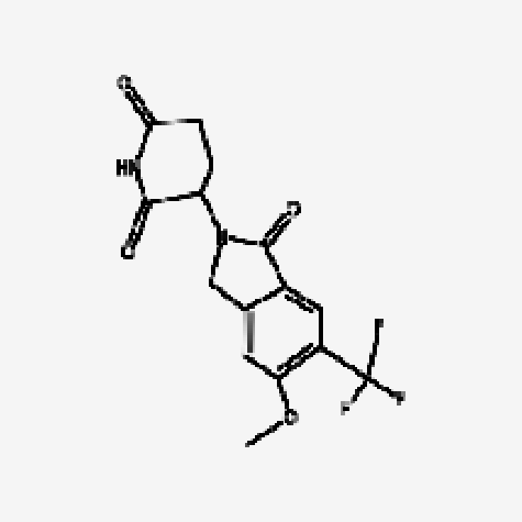 COc1cc2c(cc1C(F)(F)F)C(=O)N(C1CCC(=O)NC1=O)C2